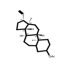 C=C[C@H]1CC[C@H]2[C@@H]3CCC4CC(OC(C)=O)CC[C@]4(C)[C@H]3CC[C@]12C